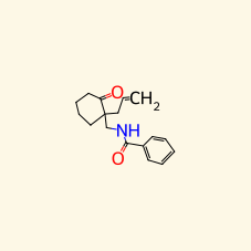 C=CCC1(CNC(=O)c2ccccc2)CCCCC1=O